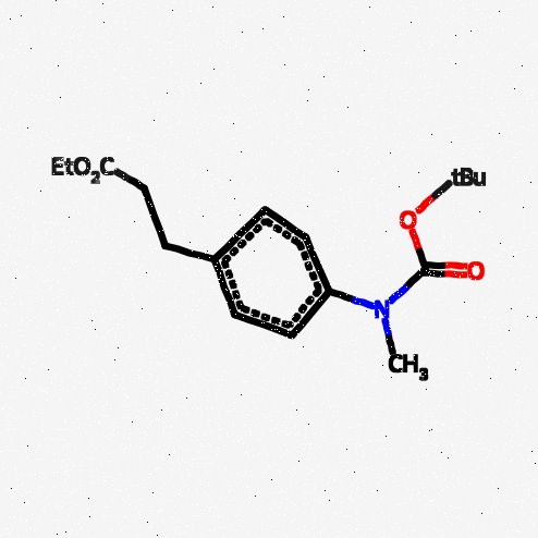 CCOC(=O)CCc1ccc(N(C)C(=O)OC(C)(C)C)cc1